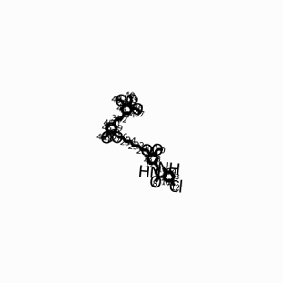 COc1cc(C2NC(=O)c3cc(Cl)ccc3N2)ccc1OCCCCCCOc1cc(C=Cc2cc(OC)c(OC)c(OC)c2)ccc1OC